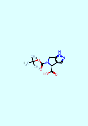 CC(C)(C)OC(=O)N1Cc2[nH]ncc2[C@H]1C(=O)O